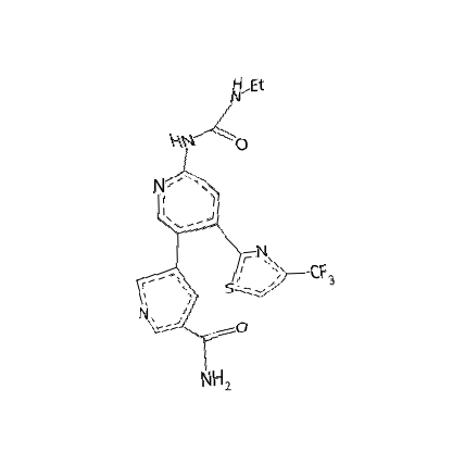 CCNC(=O)Nc1cc(-c2nc(C(F)(F)F)cs2)c(-c2cncc(C(N)=O)c2)cn1